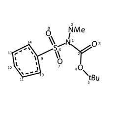 CNN(C(=O)OC(C)(C)C)S(=O)(=O)c1ccccc1